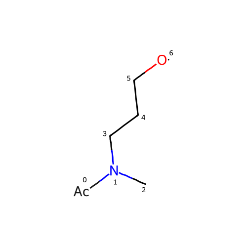 CC(=O)N(C)CCC[O]